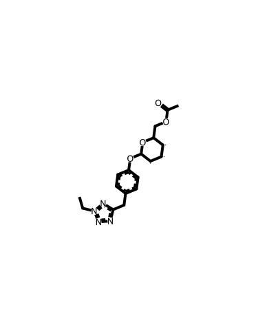 CCn1nnc(Cc2ccc(OC3[CH][CH][CH]C(COC(C)=O)O3)cc2)n1